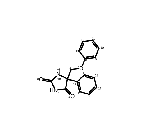 O=C1NC(=O)C(COc2ccccc2)(c2ccccc2)N1